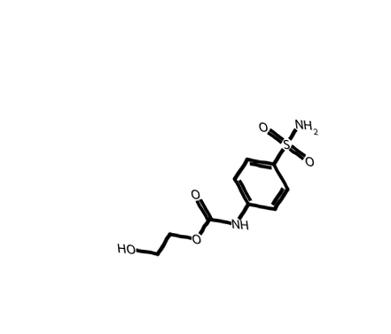 NS(=O)(=O)c1ccc(NC(=O)OCCO)cc1